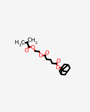 C=C(C)C(=O)OCCOC(=O)CCCC(=O)OC12CC3CC(CC(C3)C1)C2